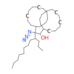 CCCCCCCCC(CCC)C(N=[N+]=[N-])(C1CCCCCCCCCCC1)C(O)C1CCCCCCCCCCC1